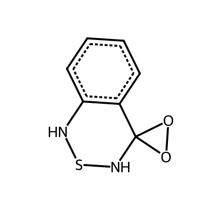 c1ccc2c(c1)NSNC21OO1